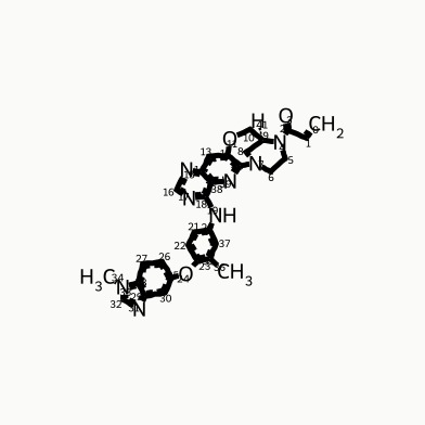 C=CC(=O)N1CCN2C[C@H]1COc1cc3ncnc(Nc4ccc(Oc5ccc6c(c5)ncn6C)c(C)c4)c3nc12